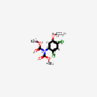 CC(C)(C)OC(=O)N(C(=O)OC(C)(C)C)c1cc(OC(=O)O)c(Br)cc1Cl